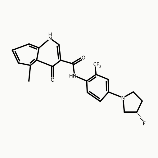 Cc1cccc2[nH]cc(C(=O)Nc3ccc(N4CC[C@H](F)C4)cc3C(F)(F)F)c(=O)c12